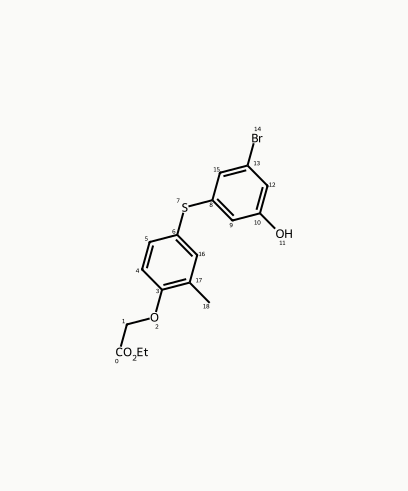 CCOC(=O)COc1ccc(Sc2cc(O)cc(Br)c2)cc1C